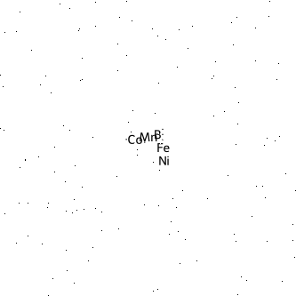 [B].[Co].[Fe].[Mn].[Ni]